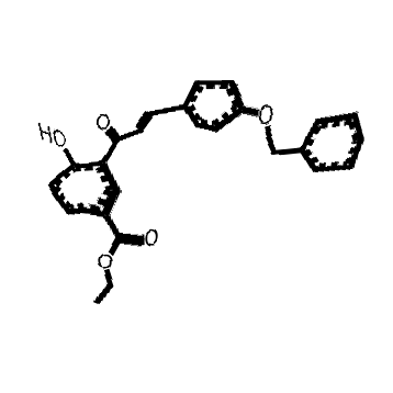 CCOC(=O)c1ccc(O)c(C(=O)/C=C/c2ccc(OCc3ccccc3)cc2)c1